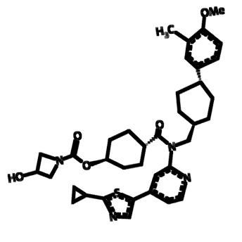 COc1ccc([C@H]2CC[C@H](CN(c3cc(-c4cnc(C5CC5)s4)ccn3)C(=O)[C@H]3CC[C@H](OC(=O)N4CC(O)C4)CC3)CC2)cc1C